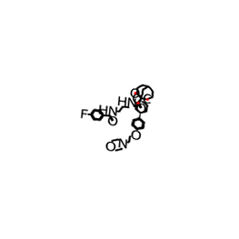 O=C(NCCCNC(=O)C12CC3CC(C1)C[C@]1(CC[C@H](c4ccc(OCCN5CCOCC5)cc4)CC1)OOC(C3)C2)c1ccc(F)cc1